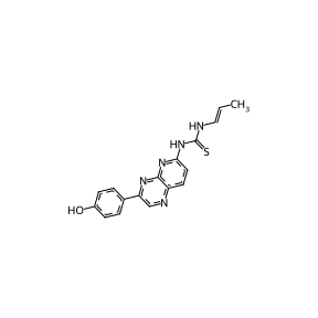 CC=CNC(=S)Nc1ccc2ncc(-c3ccc(O)cc3)nc2n1